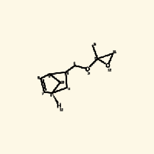 CC1(OCC2C[C@H]3C=CC2C3)CO1